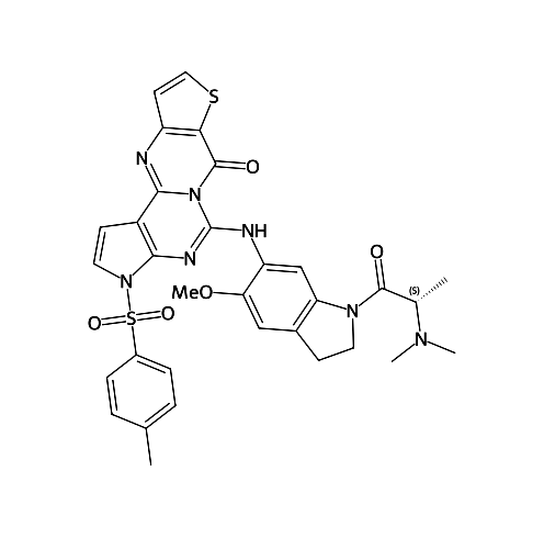 COc1cc2c(cc1Nc1nc3c(ccn3S(=O)(=O)c3ccc(C)cc3)c3nc4ccsc4c(=O)n13)N(C(=O)[C@H](C)N(C)C)CC2